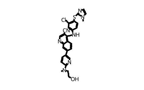 CN(CCO)c1ccc(-c2ccc3c(Nc4ccc(Sc5nccn5C)c(Cl)c4)c(C#N)cnc3c2)cn1